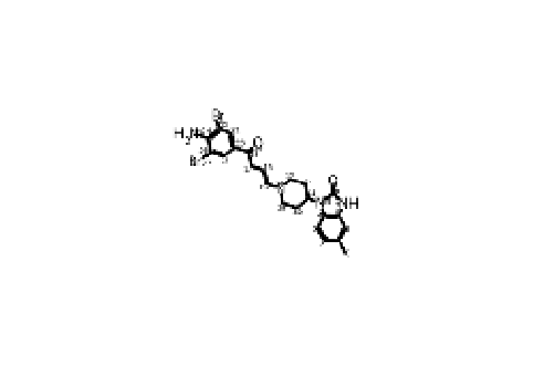 Cc1ccc2c(c1)[nH]c(=O)n2C1CCN(CCCC(=O)c2cc(Br)c(N)c(Br)c2)CC1